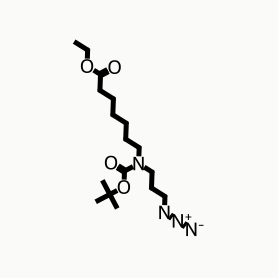 CCOC(=O)CCCCCCN(CCCN=[N+]=[N-])C(=O)OC(C)(C)C